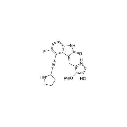 COc1cc[nH]c1C=C1C(=O)Nc2ccc(F)c(C#CC3CCCN3)c21.Cl